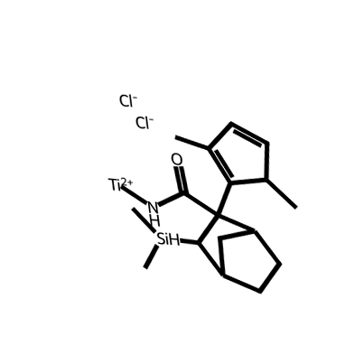 CC1=C(C2(C(=O)[NH][Ti+2])C3CCC(C3)C2[SiH](C)C)C(C)C=C1.[Cl-].[Cl-]